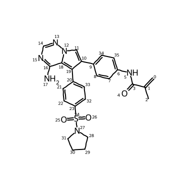 C=C(C)C(=O)Nc1ccc(-c2cn3ncnc(N)c3c2-c2ccc(S(=O)(=O)N3CCCC3)cc2)cc1